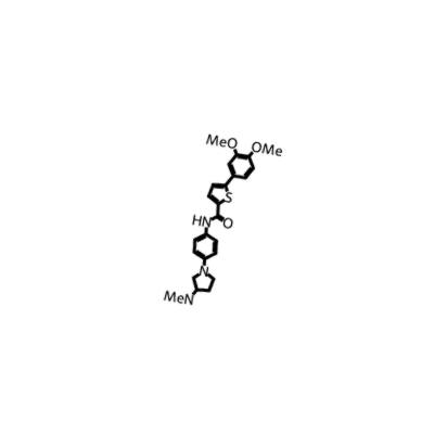 CNC1CCN(c2ccc(NC(=O)c3ccc(-c4ccc(OC)c(OC)c4)s3)cc2)C1